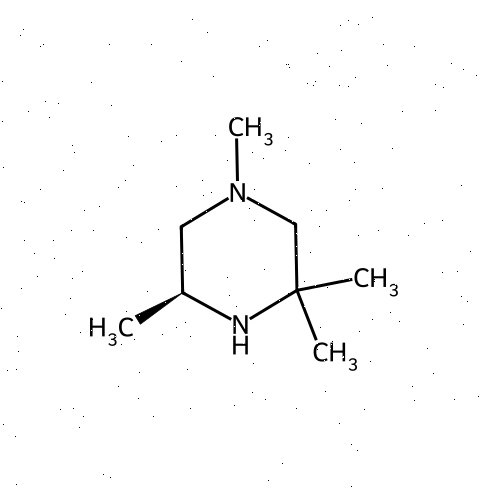 C[C@H]1CN(C)CC(C)(C)N1